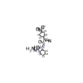 N#CN(C(=O)/C=C1\N/C(=N\N)c2ccccc21)c1ccc([N+](=O)[O-])cc1